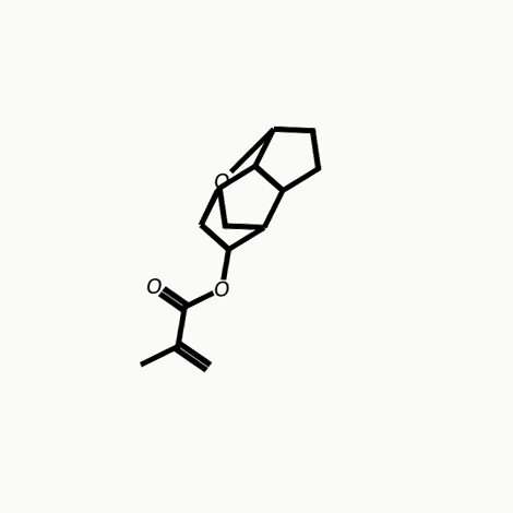 C=C(C)C(=O)OC1C2CC3C1OC1CCC2C13